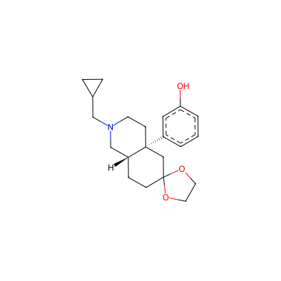 Oc1cccc([C@@]23CCN(CC4CC4)C[C@H]2CCC2(C3)OCCO2)c1